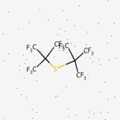 FC(F)(F)C(SC(C(F)(F)F)(C(F)(F)F)C(F)(F)F)(C(F)(F)F)C(F)(F)F